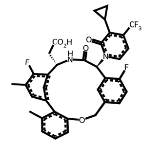 Cc1cc2cc(c1F)[C@H](CC(=O)O)NC(=O)[C@@H](n1ccc(C(F)(F)F)c(C3CC3)c1=O)c1cc(ccc1F)COc1cccc(C)c1-2